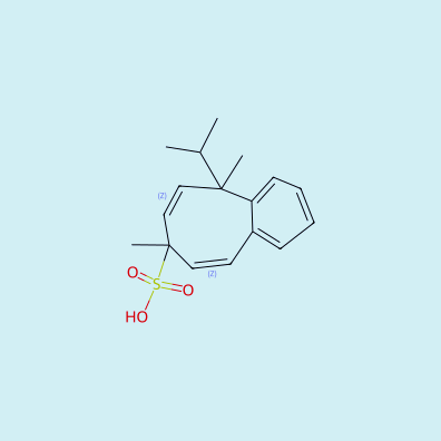 CC(C)C1(C)/C=C\C(C)(S(=O)(=O)O)/C=C\c2ccccc21